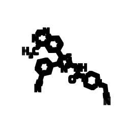 Cc1ncnc2ccc(-c3sc(NC(=O)N4CCN(CC#N)CC4)nc3-c3cccc(C#N)c3)cc12